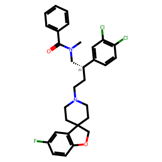 CN(C[C@@H](CCN1CCC2(CC1)COc1ccc(F)cc12)c1ccc(Cl)c(Cl)c1)C(=O)c1ccccc1